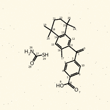 C=C(c1ccc(C(=O)O)cc1)c1cc2c(cc1C)C(C)(C)CCC2(C)C.NC(=O)S